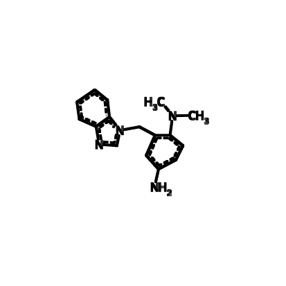 CN(C)c1ccc(N)cc1Cn1cnc2ccccc21